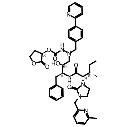 CC[C@H](C)[C@@H](C(=O)N[C@@H](Cc1ccccc1)[C@@H](O)CN(Cc1ccc(-c2ccccn2)cc1)NC(=O)O[C@@H]1CCOC1=O)N1CCN(Cc2cccc(C)n2)C1=O